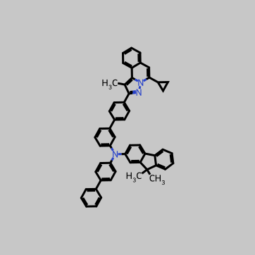 Cc1c(-c2ccc(-c3cccc(N(c4ccc(-c5ccccc5)cc4)c4ccc5c(c4)C(C)(C)c4ccccc4-5)c3)cc2)nn2c(C3CC3)cc3ccccc3c12